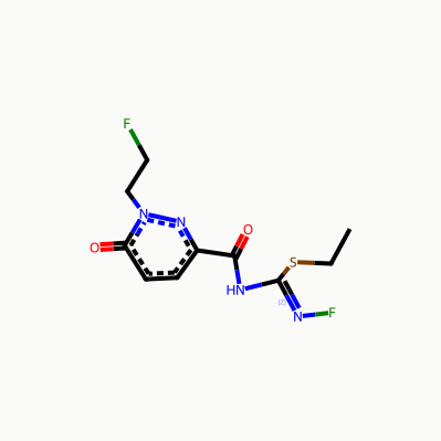 CCS/C(=N\F)NC(=O)c1ccc(=O)n(CCF)n1